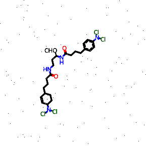 O=C[C@H](CCNC(=O)CCCC1C=CC(N(Cl)Cl)CC1)NC(=O)CCCc1ccc(N(Cl)Cl)cc1